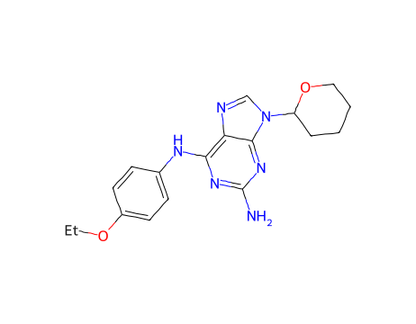 CCOc1ccc(Nc2nc(N)nc3c2ncn3C2CCCCO2)cc1